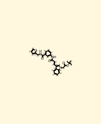 CC(C)(C)OC(=O)Cn1cc(C=CC(=O)Nc2cccc(C(=O)NCc3ccco3)c2)c2ccccc21